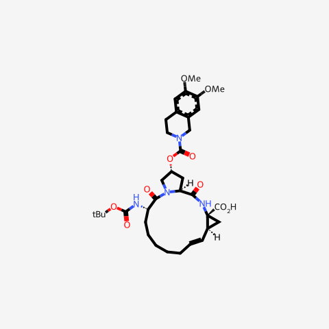 COc1cc2c(cc1OC)CN(C(=O)O[C@@H]1C[C@H]3C(=O)N[C@]4(C(=O)O)C[C@H]4/C=C/CCCCC[C@H](NC(=O)OC(C)(C)C)C(=O)N3C1)CC2